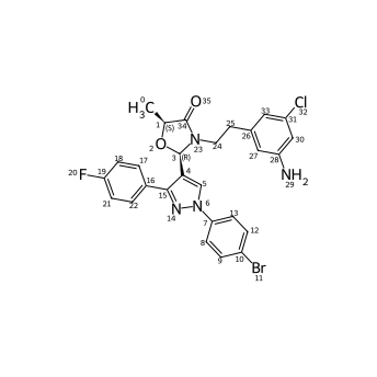 C[C@@H]1O[C@H](c2cn(-c3ccc(Br)cc3)nc2-c2ccc(F)cc2)N(CCc2cc(N)cc(Cl)c2)C1=O